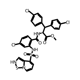 COC(=O)[C@@H](NC(=O)c1ccc(Cl)cc1NS(=O)(=O)C1=CC=CN2SNC=C12)C(c1ccc(Cl)cc1)c1ccc(Cl)cc1